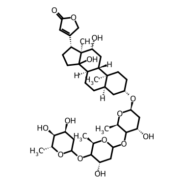 C[C@H]1OC(OC2[C@@H](O)C[C@H](O[C@H]3CC[C@@]4(C)[C@H](CC[C@@H]5[C@@H]4C[C@@H](O)[C@]4(C)[C@@H](C6=CC(=O)OC6)CCC54O)C3)O[C@@H]2C)C[C@H](O)C1OC1C[C@H](O)[C@H](O)[C@@H](C)O1